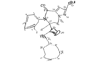 Cc1ccccc1N1C(=O)c2cc(C(C)(C)C)nn2CC1(C)C(=O)NC1CCCCCC1